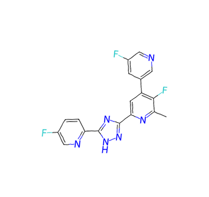 Cc1nc(-c2n[nH]c(-c3ccc(F)cn3)n2)cc(-c2cncc(F)c2)c1F